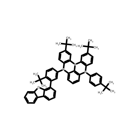 CC(C)(C)c1ccc(N2c3ccc(C(C)(C)C)cc3B3c4cc(C(C)(C)C)ccc4N(c4ccc(C(C)(C)C)c(-c5cccc6c5oc5ccccc56)c4)c4cccc2c43)cc1